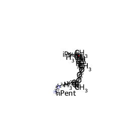 CCCCC/C=C\C/C=C\CCCCCCCCOCC(CN(C)C)OCCOCCO[C@H]1CC[C@@]2(C)C(=CC[C@H]3[C@@H]4CC[C@H]([C@H](C)CCCC(C)C)[C@@]4(C)CC[C@@H]32)C1